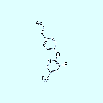 CC(=O)C=Cc1ccc(Oc2ncc(C(F)(F)F)cc2F)cc1